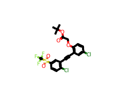 CC(C)(C)OC(=O)COc1ccc(Cl)cc1C#Cc1cc(S(=O)(=O)C(F)(F)F)ccc1Cl